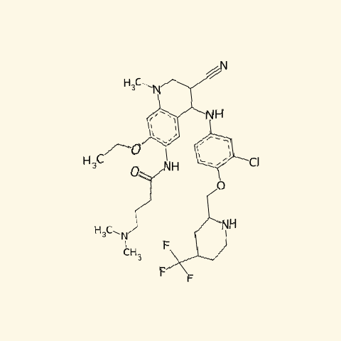 CCOc1cc2c(cc1NC(=O)CCCN(C)C)C(Nc1ccc(OCC3CC(C(F)(F)F)CCN3)c(Cl)c1)C(C#N)CN2C